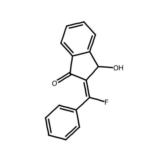 O=C1C(=C(F)c2ccccc2)C(O)c2ccccc21